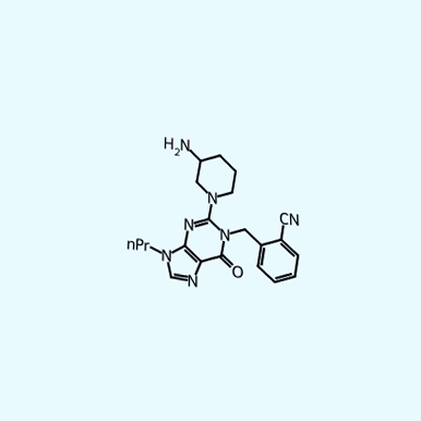 CCCn1cnc2c(=O)n(Cc3ccccc3C#N)c(N3CCCC(N)C3)nc21